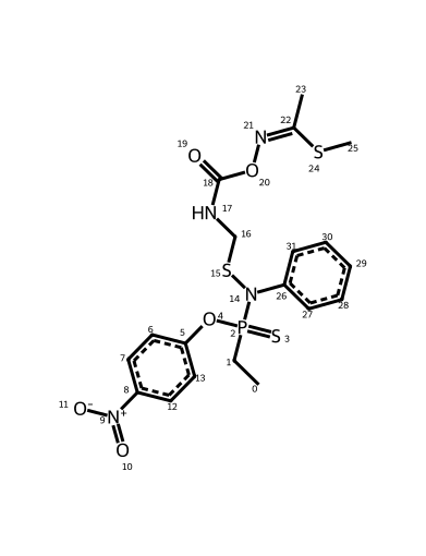 CCP(=S)(Oc1ccc([N+](=O)[O-])cc1)N(SCNC(=O)ON=C(C)SC)c1ccccc1